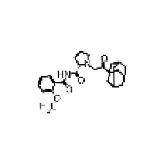 COc1ccccc1C(=O)NC(=O)[C@@H]1CCCN1CC(=O)C12CC3CC(CC(C3)C1)C2